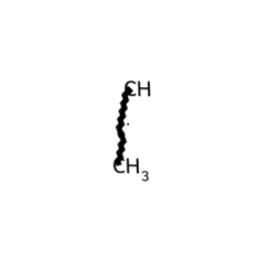 C#CCCCCCCC[CH]CC#CCCCCCCC